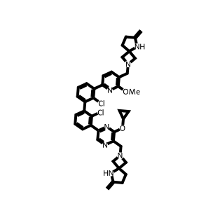 C=C1CCC2(CN(Cc3ccc(-c4cccc(-c5cccc(-c6cnc(CN7CC8(CCC(=C)N8)C7)c(OC7CC7)n6)c5Cl)c4Cl)nc3OC)C2)N1